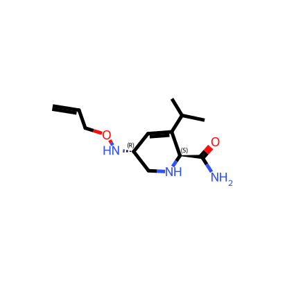 C=CCON[C@@H]1C=C(C(C)C)[C@@H](C(N)=O)NC1